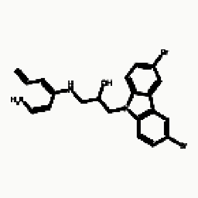 C=C/C=C(\C=C/N)NCC(O)Cn1c2ccc(Br)cc2c2cc(Br)ccc21